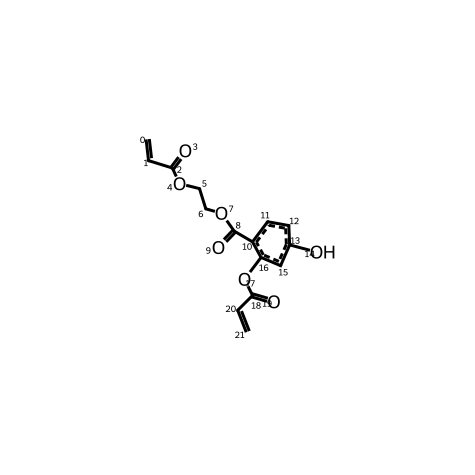 C=CC(=O)OCCOC(=O)c1ccc(O)cc1OC(=O)C=C